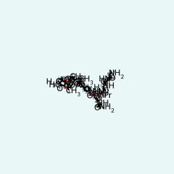 CC(=O)OCC1(C)C=C2C(=O)C(C)(O)C3(CC3)C(C)=C2C1OC(=O)N(C)CCN(C)C(=O)OCc1ccc(NC(=O)[C@H](CCCNC(N)=O)NC(=O)[C@@H](NC(=O)CNC(=O)CNC(=O)CN)C(C)C)cc1